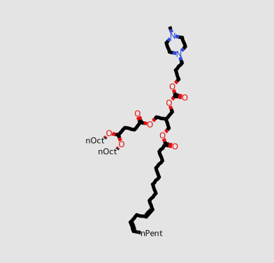 CCCCC/C=C\C/C=C\CCCCCCCC(=O)OCC(COC(=O)CCC(OCCCCCCCC)OCCCCCCCC)COC(=O)OCCCN1CCN(C)CC1